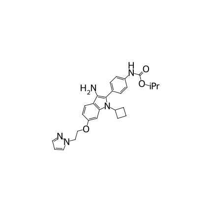 CC(C)OC(=O)Nc1ccc(-c2c(N)c3ccc(OCCn4cccn4)cc3n2C2CCC2)cc1